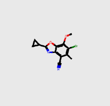 COc1c(Br)c(C)c(C#N)c2nc(C3CC3)oc12